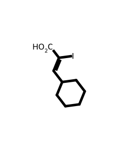 O=C(O)C(I)=CC1CCCCC1